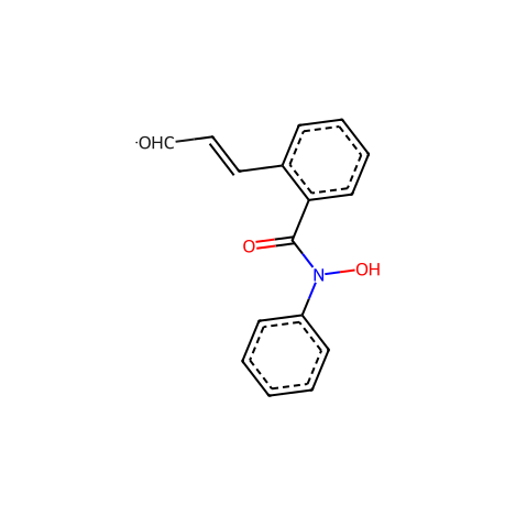 O=[C]C=Cc1ccccc1C(=O)N(O)c1ccccc1